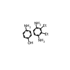 CCc1c(N)ccc(N)c1CC.Nc1ccc(O)cc1